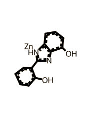 Oc1ccccc1-c1nc2c(O)cccc2[nH]1.[Zn]